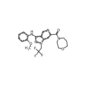 COc1ccccc1Nc1nn(CC(F)(F)F)c2cc(C(=O)N3CCCOCC3)ncc12